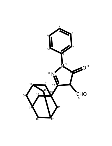 O=CC1C(=O)N(c2ccccc2)N=C1C12CC3CC(CC(C3)C1)C2